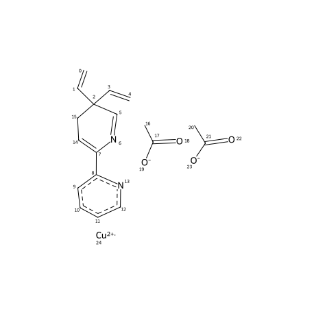 C=CC1(C=C)C=NC(c2ccccn2)=CC1.CC(=O)[O-].CC(=O)[O-].[Cu+2]